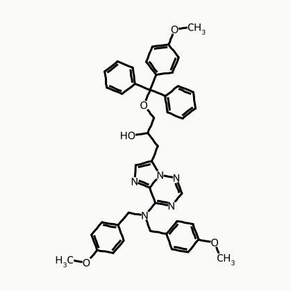 COc1ccc(CN(Cc2ccc(OC)cc2)c2ncnn3c(CC(O)COC(c4ccccc4)(c4ccccc4)c4ccc(OC)cc4)cnc23)cc1